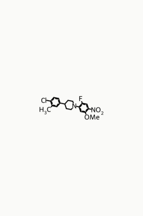 COc1cc(N2CCC(c3ccc(Cl)c(C)c3)CC2)c(F)cc1[N+](=O)[O-]